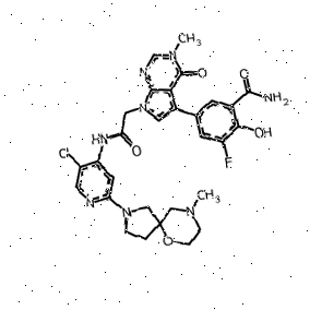 CN1CCOC2(CCN(c3cc(NC(=O)Cn4cc(-c5cc(F)c(O)c(C(N)=O)c5)c5c(=O)n(C)cnc54)c(Cl)cn3)C2)C1